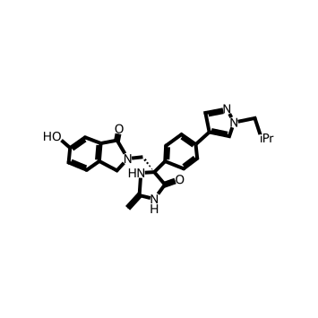 C=C1NC(=O)[C@](CN2Cc3ccc(O)cc3C2=O)(c2ccc(-c3cnn(CC(C)C)c3)cc2)N1